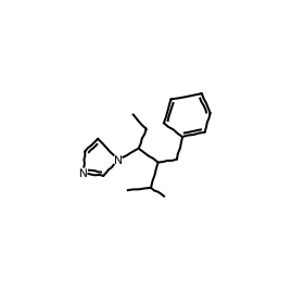 CCC(C(Cc1ccccc1)C(C)C)n1ccnc1